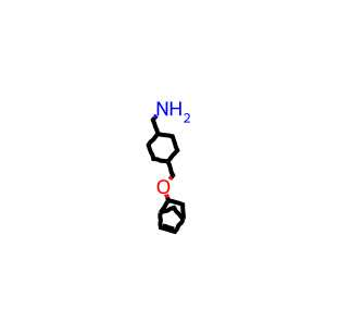 NCC1CCC(COC2CC3C=CC2C3)CC1